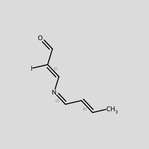 C/C=C/C=N\C=C(/I)C=O